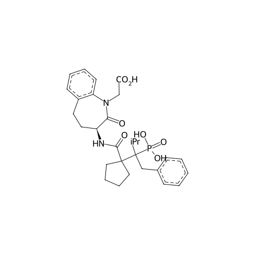 CC(C)C(Cc1ccccc1)(C1(C(=O)N[C@H]2CCc3ccccc3N(CC(=O)O)C2=O)CCCC1)P(=O)(O)O